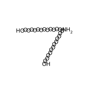 NCC(COCCOCCOCCOCCOCCOCCOCCOCCOCCOCCOCCOCCO)OCCOCCOCCOCCOCCOCCOCCOCCOCCOCCOCCOCCO